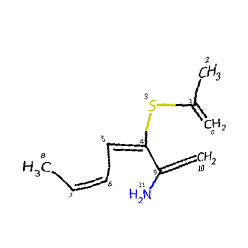 C=C(C)S/C(=C/C=C\C)C(=C)N